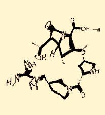 C[C@@H](O)[C@H]1C(=O)N2C(C(=O)O)=C(S[C@@H]3CN[C@H](C(=O)N4CC[C@@H](CNC(=N)N)C4)C3)[C@H](C)[C@H]12